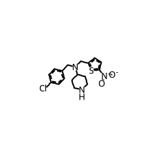 O=[N+]([O-])c1ccc(CN(Cc2ccc(Cl)cc2)C2CCNCC2)s1